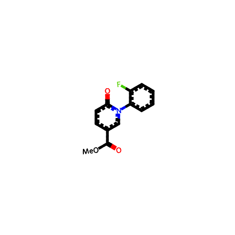 COC(=O)c1ccc(=O)n(-c2ccccc2F)c1